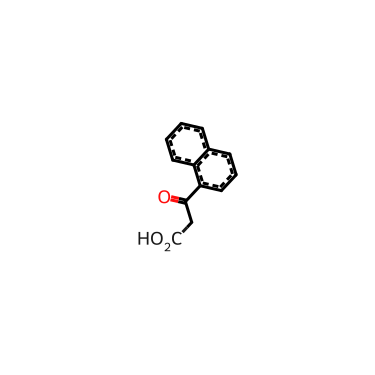 O=C(O)CC(=O)c1cccc2ccccc12